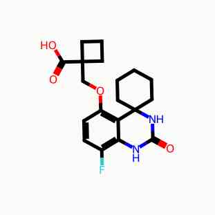 O=C1Nc2c(F)ccc(OCC3(C(=O)O)CCC3)c2C2(CCCCC2)N1